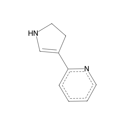 C1=C(c2ccccn2)CCN1